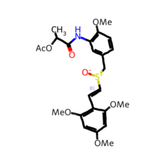 COc1cc(OC)c(/C=C/[S+]([O-])Cc2ccc(OC)c(NC(=O)C(C)OC(C)=O)c2)c(OC)c1